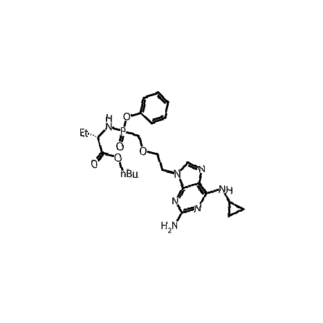 CCCCOC(=O)[C@H](CC)NP(=O)(COCCn1cnc2c(NC3CC3)nc(N)nc21)Oc1ccccc1